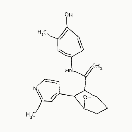 C=C(Nc1ccc(O)c(C)c1)C1C2CCC(O2)C1c1ccnc(C)c1